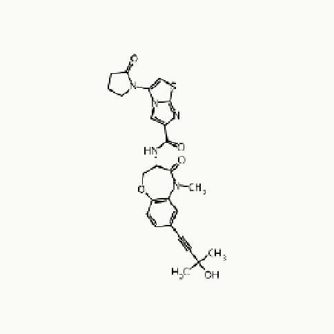 CN1C(=O)[C@@H](NC(=O)c2cn3c(N4CCCC4=O)csc3n2)COc2ccc(C#CC(C)(C)O)cc21